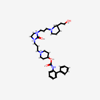 O=C(Nc1ccccc1-c1ccccc1)OC1CCN(CCCN2CCN(CCCN3CCCC(CCO)C3)C2=O)CC1